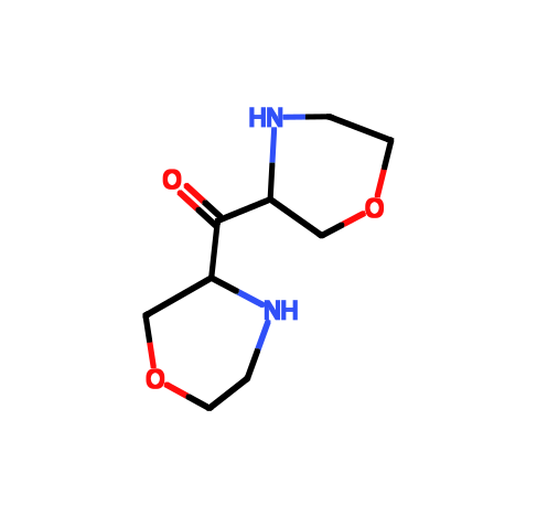 O=C(C1COCCN1)C1COCCN1